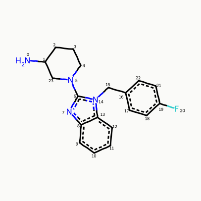 NC1CCCN(c2nc3ccccc3n2Cc2ccc(F)cc2)C1